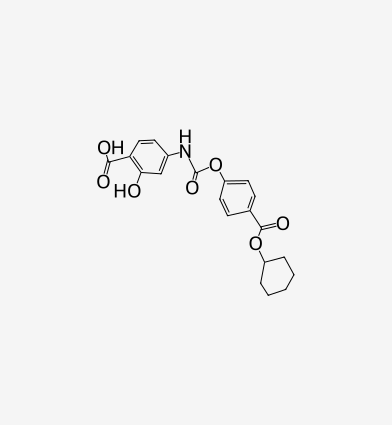 O=C(Nc1ccc(C(=O)O)c(O)c1)Oc1ccc(C(=O)OC2CCCCC2)cc1